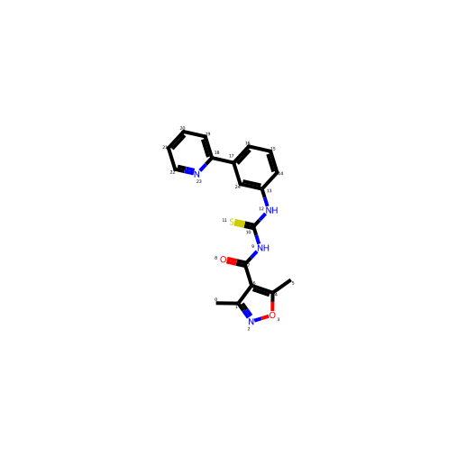 Cc1noc(C)c1C(=O)NC(=S)Nc1cccc(-c2ccccn2)c1